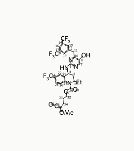 CC[C@@H]1C[C@H](Nc2ncc(O)c(Cc3cc(C(F)(F)F)cc(C(F)(F)F)c3)n2)c2cc(C(F)(F)F)ccc2N1C(=O)OCCCC(=C=O)OC